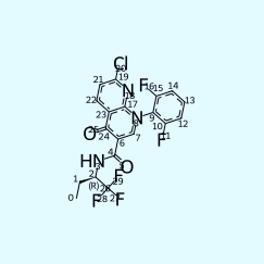 CC[C@@H](NC(=O)c1cn(-c2c(F)cccc2F)c2nc(Cl)ccc2c1=O)C(F)(F)F